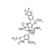 CCOc1c(C(N)=O)cc([C@@](O)(CNC(=O)c2cc(OC)c3nc(F)c(C)cc3c2)C2CC2)nc1-c1ccc2c(c1)OC(F)(F)O2